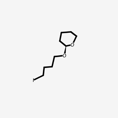 ICCCCO[C@H]1CCCCO1